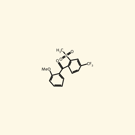 COc1ccccc1C(=O)c1ccc(C(F)(F)F)cc1S(C)(=O)=O